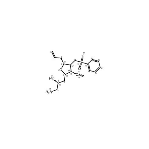 C=CC[C@@H]1O[C@H](C[C@H](O)CN)[C@H](OC)C1CS(=O)(=O)c1ccccc1